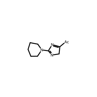 CC(=O)C1=NC(N2CCCCC2)=NC1